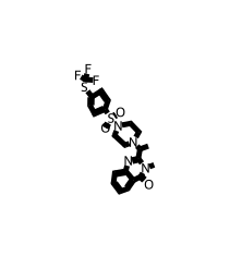 CC(c1nc2ccccc2c(=O)n1C)N1CCN(S(=O)(=O)c2ccc(SC(F)(F)F)cc2)CC1